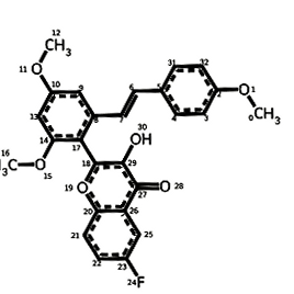 COc1ccc(C=Cc2cc(OC)cc(OC)c2-c2oc3ccc(F)cc3c(=O)c2O)cc1